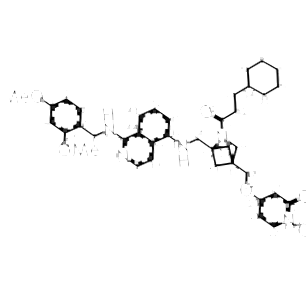 COc1ccc(CNc2nccc3c(NCC45CC(COc6ccn(C)c(=O)c6)(CN4C(=O)CCC4CCCCC4)C5)cccc23)c(OC)c1